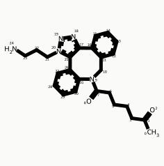 CC(=O)CCCCC(=O)N1Cc2ccccc2-c2nnn(CCCN)c2-c2ccccc21